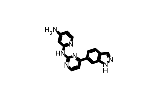 Nc1ccnc(Nc2nccc(-c3ccc4cn[nH]c4c3)n2)c1